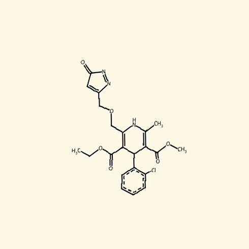 CCOC(=O)C1=C(COCC2=CC(=O)N=N2)NC(C)=C(C(=O)OC)C1c1ccccc1Cl